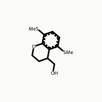 CSc1ccc(SC)c2c1OCCC2CO